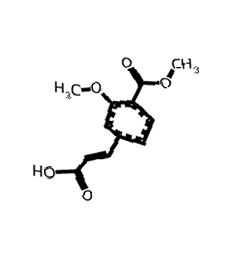 COC(=O)c1ccc(/C=C/C(=O)O)cc1OC